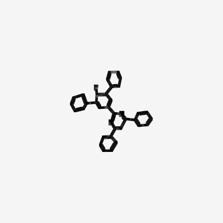 Fc1c(-c2ccccc2)cc(-c2nc(-c3ccccc3)cc(-c3ccccc3)n2)cc1-c1ccccc1